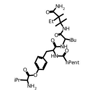 CCCCCC(=O)NC(Cc1ccc(OC(=O)C(N)C(C)C)cc1)C(=O)NC(C(=O)NC(C)(C)C(C)(CC)C(N)=O)C(C)CC